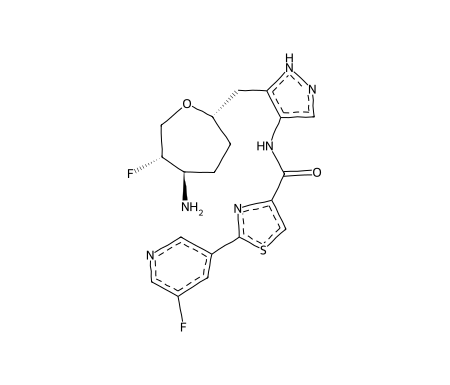 N[C@@H]1CC[C@@H](Cc2[nH]ncc2NC(=O)c2csc(-c3cncc(F)c3)n2)OC[C@H]1F